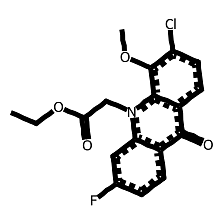 CCOC(=O)Cn1c2cc(F)ccc2c(=O)c2ccc(Cl)c(OC)c21